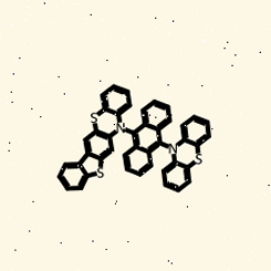 c1ccc2c(c1)Sc1ccccc1N2c1c2ccccc2c(N2c3ccccc3Sc3cc4c(cc32)sc2ccccc24)c2ccccc12